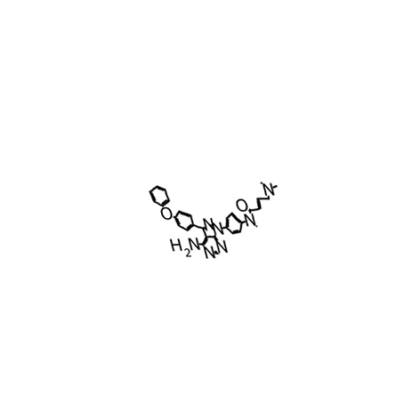 CN(C)CC=CC(=O)N(C)c1ccc(-n2nc(-c3ccc(Oc4ccccc4)cc3)c3c(N)ncnc32)cc1